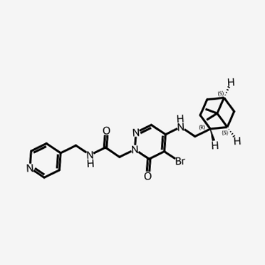 CC1(C)[C@H]2CC[C@@H](CNc3cnn(CC(=O)NCc4ccncc4)c(=O)c3Br)[C@@H]1C2